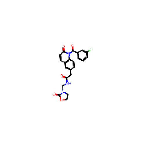 O=C(Cc1ccc2c(ccc(=O)n2C(=O)c2cccc(Cl)c2)c1)NCN1CCOC1=O